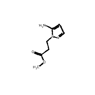 COC(=O)CCn1nccc1N